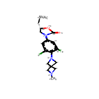 CC(=O)NC[C@H]1CN(c2cc(F)c(N3CC4(CN(C)C4)C3)c(F)c2)C(=O)O1